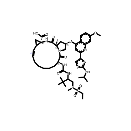 CCS(=O)(=O)N(C)CC(NC(=O)N[C@H]1CCCCC/C=C\C2C[C@@]2(C(=O)O)NC(=O)[C@@H]2C[C@@H](Oc3cc(-c4csc(NC(C)C)n4)nc4cc(OC)ccc34)CN2C1=O)C(C)(C)C